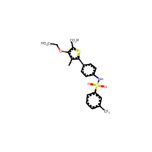 Cc1c(-c2ccc(NS(=O)(=O)c3cccc(C(F)(F)F)c3)cc2)sc(C(=O)O)c1OCC(=O)O